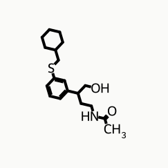 CC(=O)NCCC(CO)c1cccc(SCC2CCCCC2)c1